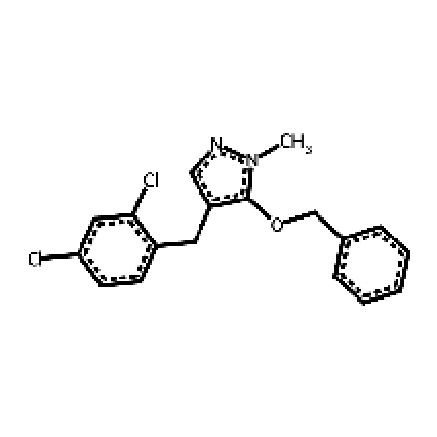 Cn1ncc(Cc2ccc(Cl)cc2Cl)c1OCc1ccccc1